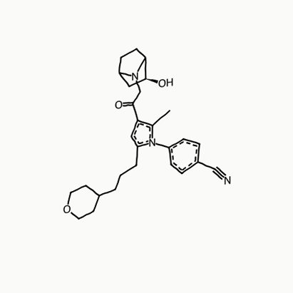 Cc1c(C(=O)CN2C3CCC2[C@@H](O)C3)cc(CCCC2CCOCC2)n1-c1ccc(C#N)cc1